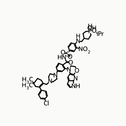 CC(C)O[PH]1(O)CCC(CNc2ccc(S(=O)(=O)NC(=O)c3ccc(N4CCN(CC5=C(c6ccc(Cl)cc6)CC(C)(C)CC5)CC4)cc3N3CCOc4nc5[nH]ccc5cc43)cc2[N+](=O)[O-])CC1